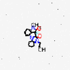 C#CCn1c(=O)c(C2(F)C(=O)N(C)c3ccccc32)nc2ccccc21